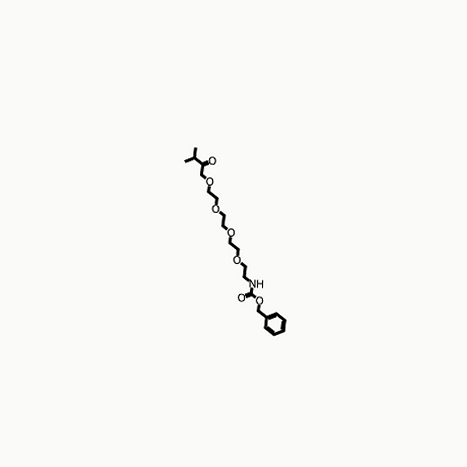 CC(C)C(=O)COCCOCCOCCOCCNC(=O)OCc1ccccc1